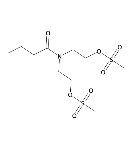 CCCC(=O)N(CCOS(C)(=O)=O)CCOS(C)(=O)=O